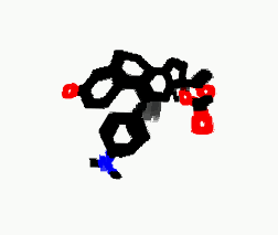 CC(=O)O[C@]1(C(C)=O)CCC2C3CCC4=CC(=O)CCC4=C3[C@@H](c3ccc(N(C)C)cc3)C[C@@]21C